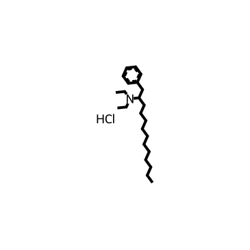 CCCCCCCCCCCC(Cc1ccccc1)N(CC)CC.Cl